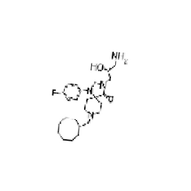 NCC(O)CN1CN(c2ccc(F)cc2)C2(CCN(CC3CCCCCCC3)CC2)C1=O